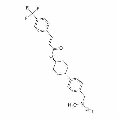 CN(C)Cc1ccc([C@H]2CC[C@H](OC(=O)C=Cc3ccc(C(F)(F)F)cc3)CC2)cc1